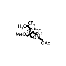 C=C(C(=O)OC1(COC)COC(OCCOC(C)=O)(C(F)(F)F)C1(F)F)C(F)(F)F